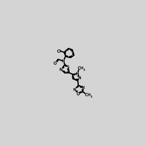 Cc1nc(-c2cc(-c3cnc(N(C=O)c4ccccc4Cl)s3)n(C)n2)no1